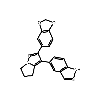 c1cc2c(cc1-c1nn3c(c1-c1ccc4[nH]ncc4c1)CCC3)OCO2